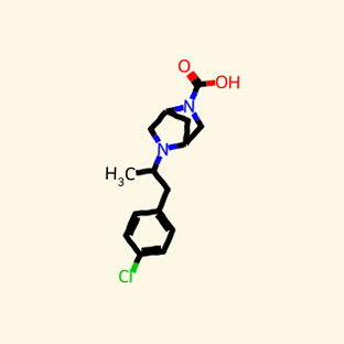 CC(Cc1ccc(Cl)cc1)N1CC2CC1CN2C(=O)O